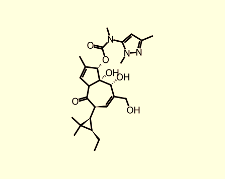 CC[C@@H]1[C@H]([C@@H]2C=C(CO)[C@@H](O)[C@@]3(O)C(C=C(C)[C@@H]3OC(=O)N(C)c3cc(C)nn3C)C2=O)C1(C)C